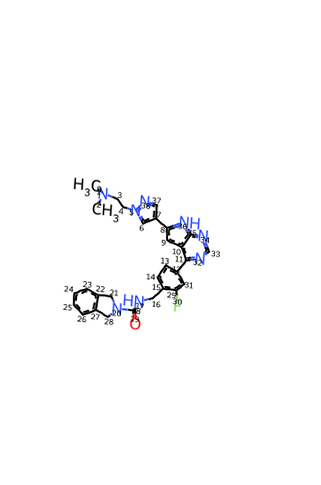 CN(C)CCn1cc(-c2cc3c(-c4ccc(CNC(=O)N5Cc6ccccc6C5)c(F)c4)ncnc3[nH]2)cn1